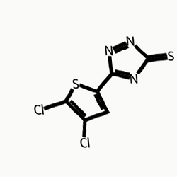 S=C1N=NC(c2cc(Cl)c(Cl)s2)=N1